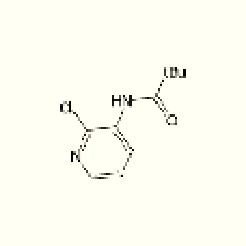 CC(C)(C)C(=O)Nc1cccnc1Cl